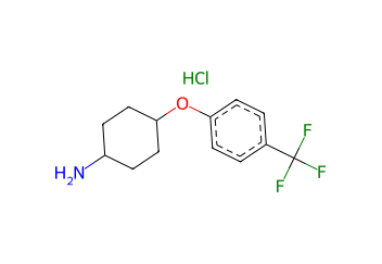 Cl.NC1CCC(Oc2ccc(C(F)(F)F)cc2)CC1